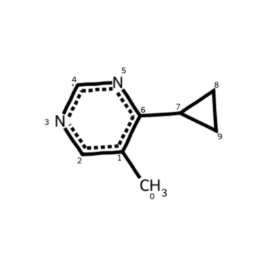 Cc1cn[c]nc1C1CC1